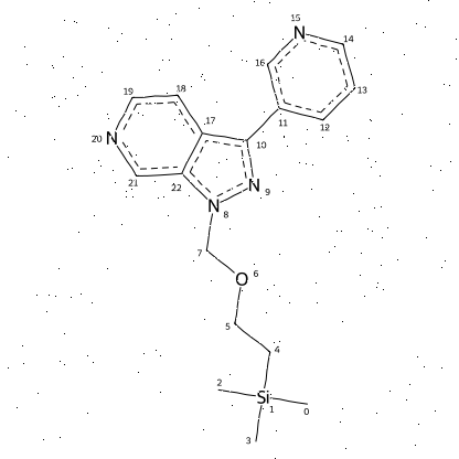 C[Si](C)(C)CCOCn1nc(-c2cccnc2)c2ccncc21